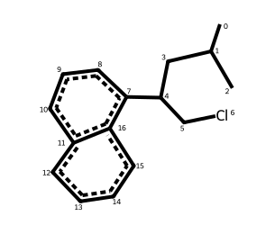 CC(C)CC(CCl)c1cccc2ccccc12